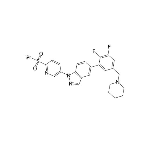 CC(C)S(=O)(=O)c1ccc(-n2ncc3cc(-c4cc(CN5CCCCC5)cc(F)c4F)ccc32)cn1